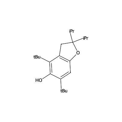 CC(C)C1(C(C)C)Cc2c(cc(C(C)(C)C)c(O)c2C(C)(C)C)O1